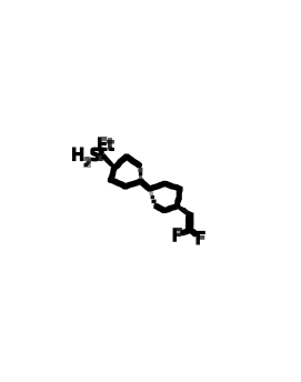 CC[SiH2][C@H]1CC[C@H]([C@H]2CC[C@H](C=C(F)F)CC2)CC1